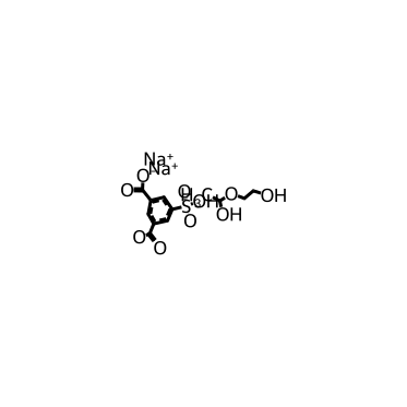 CC(O)OCCO.O=C([O-])c1cc(C(=O)[O-])cc(S(=O)(=O)O)c1.[Na+].[Na+]